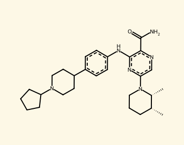 C[C@@H]1CCCN(c2cnc(C(N)=O)c(Nc3ccc(C4CCN(C5CCCC5)CC4)cc3)n2)[C@@H]1C